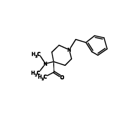 CC(=O)C1(N(C)C)CCN(Cc2ccccc2)CC1